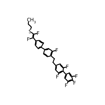 CCCS/C(F)=C(\F)c1ccc(-c2ccc(CCc3cc(F)c(-c4cc(F)c(F)c(F)c4)c(F)c3)c(F)c2)cc1